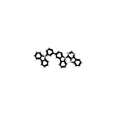 c1cc(-c2ccc3c(c2)c2ccccc2n3-c2ncnc3c2sc2ccccc23)cc(-n2c3ccccc3c3ccccc32)c1